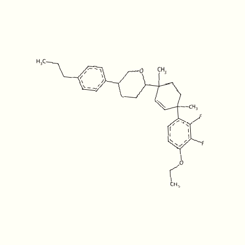 CCCc1ccc(C2CCC(C3(C)C=CC(C)(c4ccc(OCC)c(F)c4F)CC3)OC2)cc1